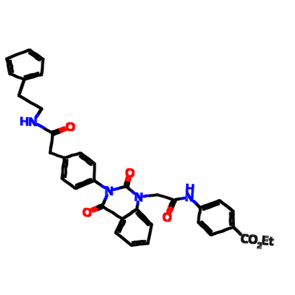 CCOC(=O)c1ccc(NC(=O)Cn2c(=O)n(-c3ccc(CC(=O)NCCc4ccccc4)cc3)c(=O)c3ccccc32)cc1